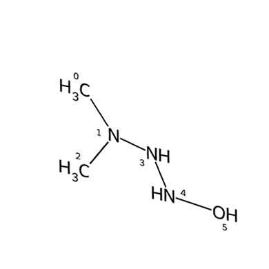 CN(C)NNO